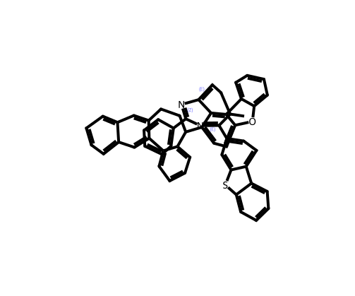 CC1C/C=C(c2c(C3CCc4cc5ccccc5cc4-c4ccccc43)ccc3oc4ccccc4c23)/N=C(c2ccccc2)\N=C/1c1ccc2c(c1)sc1ccccc12